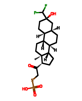 C[C@]12CC[C@H]3[C@@H](CC[C@@H]4C[C@@](O)(C(F)F)CC[C@@H]43)[C@@H]1CC[C@@H]2C(=O)CSS(=O)(=O)O